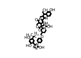 CCc1c2c(nc3ccc(O)cc13)-c1cc3c(c(=O)n1C2)COC(=O)C3(CC)C1CC(COc2ccc(-n3c(O)nnc3-c3cc(C(C)C)c(O)cc3O)cc2)CCN1C(=O)O